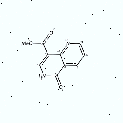 COC(=O)c1c[nH]c(=O)c2cccnc12